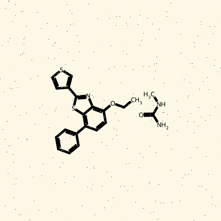 CCOc1ccc(-c2ccccc2)c2sc(-c3ccsc3)nc12.CNC(N)=O